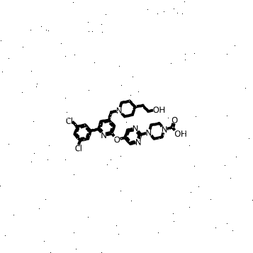 O=C(O)N1CCN(c2ncc(Oc3cc(CN4CCC(CCO)CC4)cc(-c4cc(Cl)cc(Cl)c4)n3)cn2)CC1